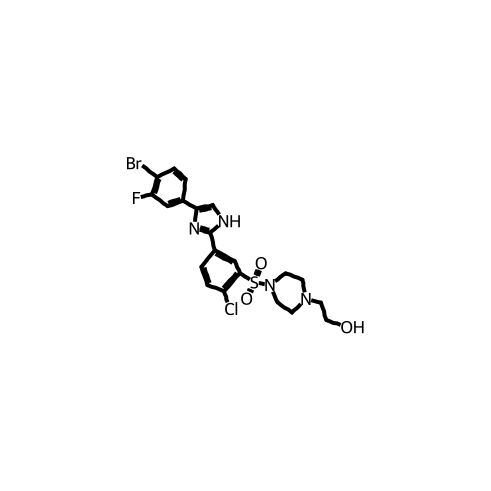 O=S(=O)(c1cc(-c2nc(-c3ccc(Br)c(F)c3)c[nH]2)ccc1Cl)N1CCN(CCO)CC1